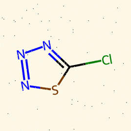 Clc1nnns1